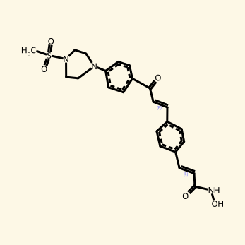 CS(=O)(=O)N1CCN(c2ccc(C(=O)/C=C/c3ccc(/C=C/C(=O)NO)cc3)cc2)CC1